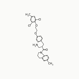 Cc1cc(Cl)c(OCCOc2ccc(CC(CN)C(=O)N3CCCc4cc(C)ccc43)cc2)c(Cl)c1